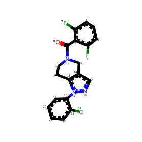 O=C(c1c(F)cccc1F)N1CCc2c(cnn2-c2ccccc2Cl)C1